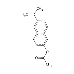 C=C(C)c1ccc2cc(OC(C)=O)ccc2c1